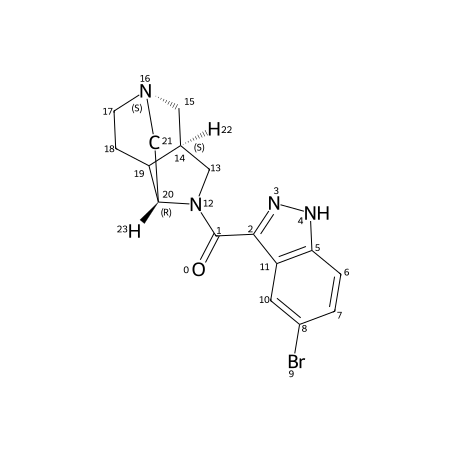 O=C(c1n[nH]c2ccc(Br)cc12)N1C[C@@H]2C[N@@]3CCC2[C@@H]1C3